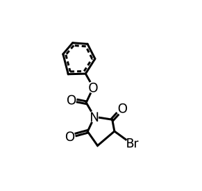 O=C1CC(Br)C(=O)N1C(=O)Oc1ccccc1